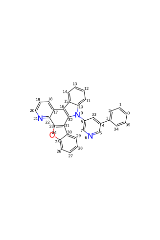 c1ccc(-c2cncc(-n3c4ccccc4c4c5cccnc5c5oc6ccccc6c5c43)c2)cc1